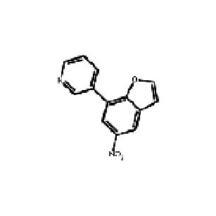 O=[N+]([O-])c1cc(-c2cccnc2)c2occc2c1